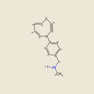 CN(I)Cc1ccc(C2C#CC/C=C/C=C\2)cc1